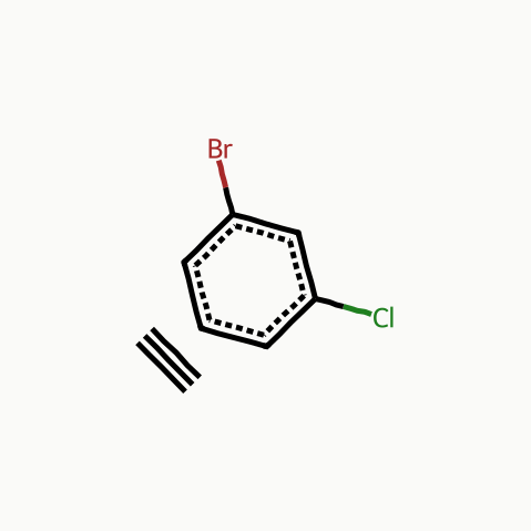 C#C.Clc1cccc(Br)c1